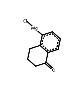 O=C1CCCc2[c]([Mg][Cl])cccc21